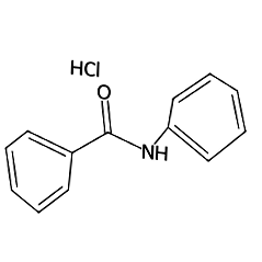 Cl.O=C(Nc1ccccc1)c1ccccc1